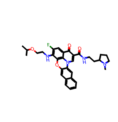 CC(C)OCCNc1c(F)cc2c(=O)c(C(=O)NCCC3CCCN3C)cn3c2c1Oc1cc2ccccc2cc1-3